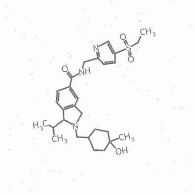 CCS(=O)(=O)c1ccc(CNC(=O)c2ccc3c(c2)CN(CC2CCC(C)(O)CC2)C3C(C)C)nc1